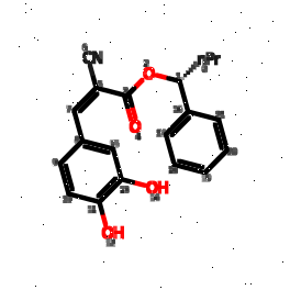 CCC[C@@H](OC(=O)C(C#N)=Cc1ccc(O)c(O)c1)c1ccccc1